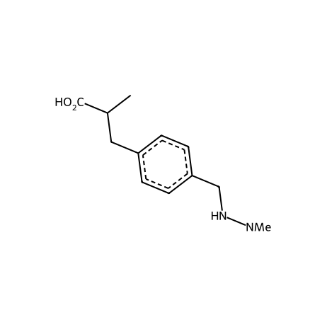 CNNCc1ccc(CC(C)C(=O)O)cc1